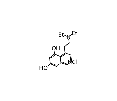 CCN(CC)CCc1cccc2cc(O)cc(O)c12.Cl